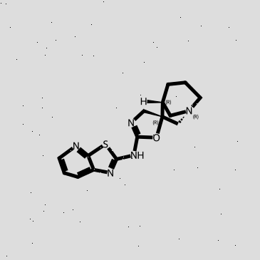 c1cnc2sc(NC3=NC[C@@]4(C[N@@]5CCC[C@@H]4C5)O3)nc2c1